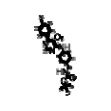 COc1c(N[C@H]2CC[C@H](CNC(=O)OC(C)(C)C)CC2)ncnc1-c1ccc(C)cc1